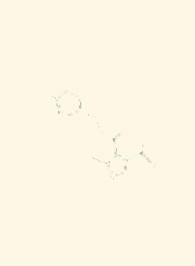 Cc1noc(C(=N)Br)c1C(=O)NCc1ccc(C(F)(F)F)cc1